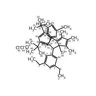 CCc1cc(CC)cc(C([SiH2]c2cc(C)cc(C)c2)[C]2([Ti+3])C(C)=C(C)C(C)=C2c2cc(C(C)(C)C)cc(C(C)(C)C)c2)c1.[Cl-].[Cl-].[Cl-]